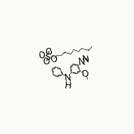 CCCCCCCCCOS(=O)(=O)[O-].COc1cc(Nc2ccccc2)ccc1[N+]#N